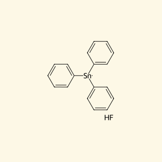 F.c1cc[c]([Sn]([c]2ccccc2)[c]2ccccc2)cc1